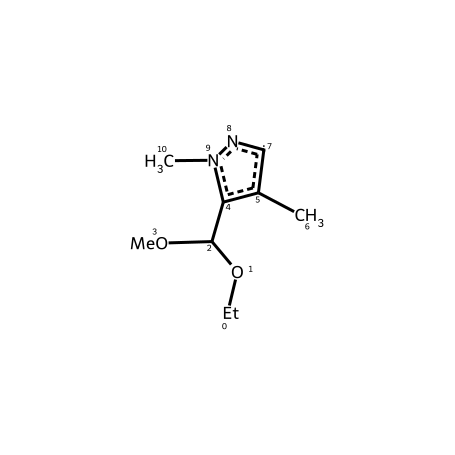 CCOC(OC)c1c(C)[c]nn1C